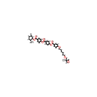 CCC1(COCCCCCCOc2ccc(C(=O)Oc3ccc(C(=O)Oc4ccc(C(=O)OC5CC(C)CCC5C(C)C)cc4)cc3)cc2)COC1